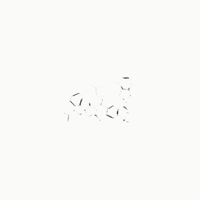 CC(C)CCC(c1ccc(C(F)(F)F)c(C(=O)N2Cc3nccnc3C2)c1)N1C(=N)N[C@](CCC(C)C)(c2ccccc2)C1=O